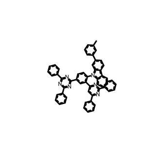 Cc1cccc(-c2ccc3c4ccccc4n(-c4ccc(-c5nc(-c6ccccc6)nc(-c6ccccc6)n5)cc4-c4cc(-c5ccccc5)nc(-c5ccccc5)n4)c3c2)c1